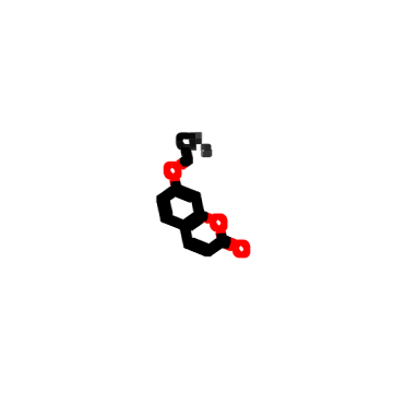 O=c1ccc2ccc(OCC(F)(F)F)cc2o1